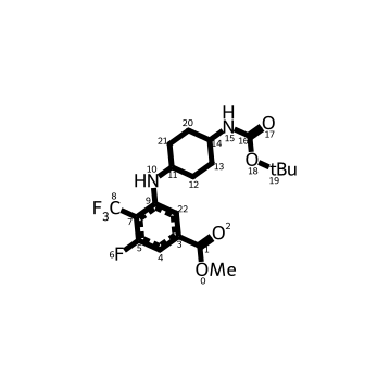 COC(=O)c1cc(F)c(C(F)(F)F)c(NC2CCC(NC(=O)OC(C)(C)C)CC2)c1